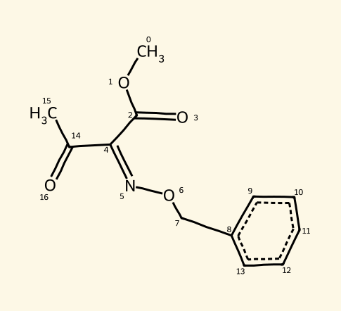 COC(=O)C(=NOCc1ccccc1)C(C)=O